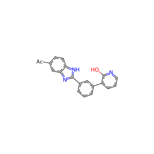 CC(=O)c1ccc2[nH]c(-c3cccc(-c4cccnc4O)c3)nc2c1